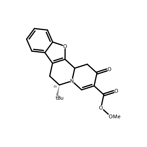 COOC(=O)C1=CN2C(CC1=O)c1oc3ccccc3c1C[C@H]2C(C)(C)C